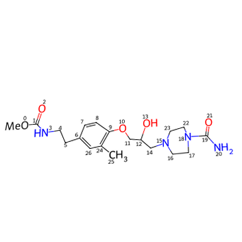 COC(=O)NCCc1ccc(OCC(O)CN2CCN(C(N)=O)CC2)c(C)c1